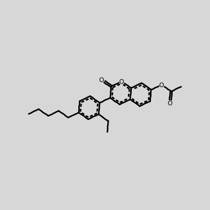 CCCCCc1ccc(-c2cc3ccc(OC(C)=O)cc3oc2=O)c(CC)c1